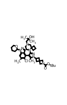 Cc1cc2c(cnn2C2CCCCO2)c(-c2c(N3CCN(CC(C)(C)O)CC34CCC4)nn(C3CC4(C3)CN(C(=O)OC(C)(C)C)C4)c2C)c1Cl